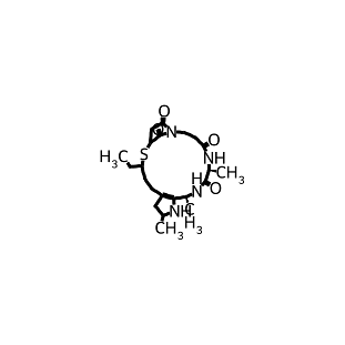 CCC1CCC2=C(NC(C)C2)[C@H](C)NC(=O)[C@H](C)NC(=O)CCN2C(=O)CC(S1)C2=O